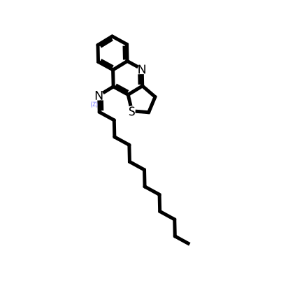 CCCCCCCCCCC/C=N\c1c2c(nc3ccccc13)CCS2